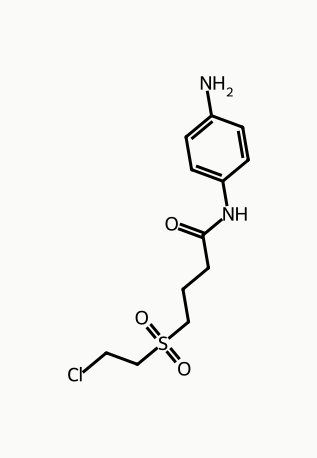 Nc1ccc(NC(=O)CCCS(=O)(=O)CCCl)cc1